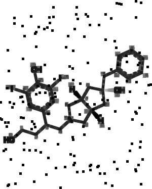 OCCC(CN1C[C@@H]2C[C@@](O)(Cc3ccccc3)C[C@@H]2C1)c1cc(F)c(O)c(F)c1